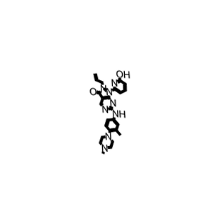 C=CCn1c(=O)c2cnc(Nc3ccc(N4CCN(C)CC4)c(C)c3)nc2n1-c1cccc(O)n1